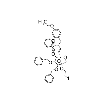 CCOc1ccc(Cc2cc([C@]34OC[C@](OCCI)(O3)[C@@H](OCc3ccccc3)[C@H](OCc3ccccc3)[C@H]4OCc3ccccc3)ccc2Cl)cc1